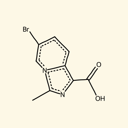 Cc1nc(C(=O)O)c2ccc(Br)cn12